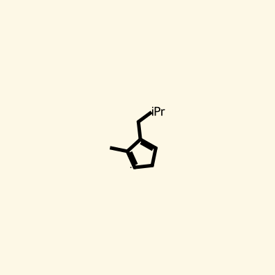 CC1=[C]CC=C1CC(C)C